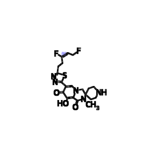 CN1C(=O)c2c(O)c(=O)c(-c3nnc(CC/C(F)=C\CF)s3)cn2CC12CCNCC2